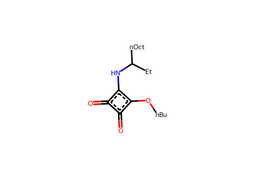 CCCCCCCCC(CC)Nc1c(OCCCC)c(=O)c1=O